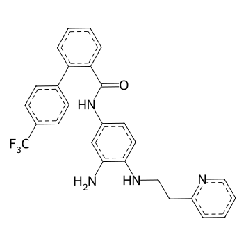 Nc1cc(NC(=O)c2ccccc2-c2ccc(C(F)(F)F)cc2)ccc1NCCc1ccccn1